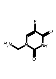 NCn1cc(F)c(=O)[nH]c1=O